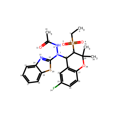 CCS(=O)(=O)C1C(N(NC(C)=O)c2nc3ccccc3s2)c2cc(F)ccc2OC1(C)C